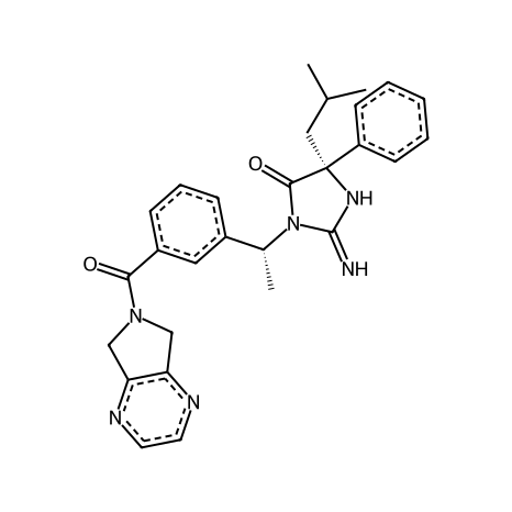 CC(C)C[C@]1(c2ccccc2)NC(=N)N([C@H](C)c2cccc(C(=O)N3Cc4nccnc4C3)c2)C1=O